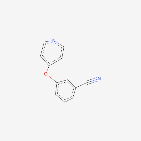 N#Cc1cccc(Oc2ccncc2)c1